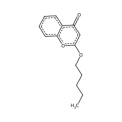 CCCCCOc1cc(=O)c2ccccc2o1